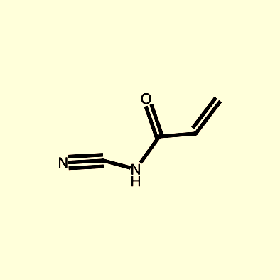 C=CC(=O)NC#N